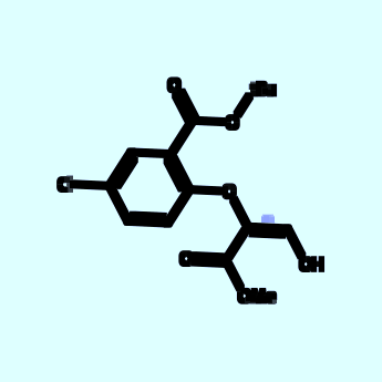 COC(=O)/C(=C\O)Oc1ccc(Cl)cc1C(=O)OC(C)(C)C